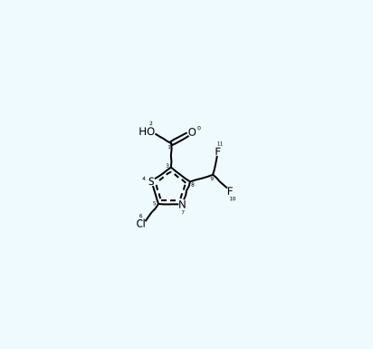 O=C(O)c1sc(Cl)nc1C(F)F